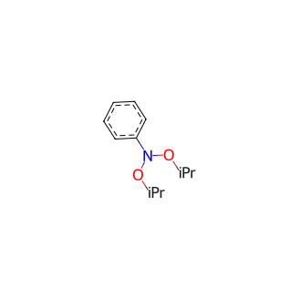 CC(C)ON(OC(C)C)c1ccccc1